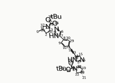 C[C@@H]1C[C@@H](c2ncc(-c3ccc(C#Cc4cnc([C@@H]5C[C@H](C)CN5C(=O)OC(C)(C)C)[nH]4)cc3)[nH]2)N(C(=O)OC(C)(C)C)C1